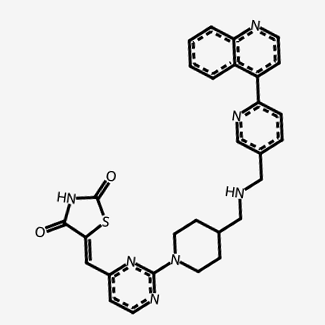 O=C1NC(=O)C(=Cc2ccnc(N3CCC(CNCc4ccc(-c5ccnc6ccccc56)nc4)CC3)n2)S1